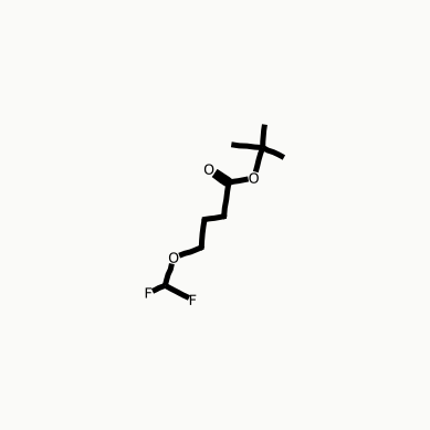 CC(C)(C)OC(=O)CCCOC(F)F